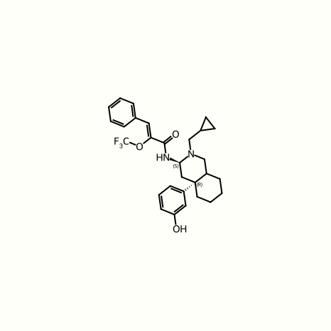 O=C(N[C@@H]1C[C@]2(c3cccc(O)c3)CCCCC2CN1CC1CC1)C(=Cc1ccccc1)OC(F)(F)F